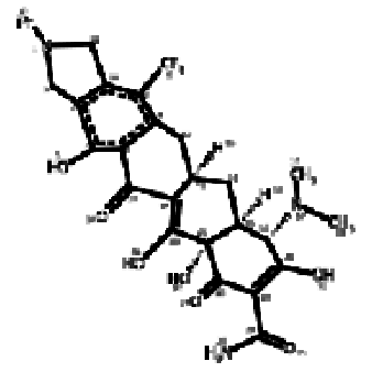 CC(C)N1Cc2c(O)c3c(c(C(F)(F)F)c2C1)C[C@H]1C[C@H]2[C@H](N(C)C)C(O)=C(C(N)=O)C(=O)[C@@]2(O)C(O)=C1C3=O